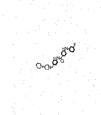 O=C(Nc1ccc(CN2CCC(N3CCCCC3)CC2)cc1)c1ccc(Nc2cccc(F)c2)cc1